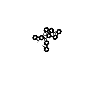 c1ccc(-n2c3ccccc3c3cccc(-c4cc(N(c5ccc6c(c5)sc5ccccc56)c5ccc6c(c5)sc5ccccc56)c5oc6ccccc6c5c4)c32)cc1